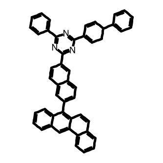 C1=CC(c2ccccc2)CC=C1c1nc(-c2ccccc2)nc(-c2ccc3cc(-c4c5ccccc5cc5c4ccc4ccccc45)ccc3c2)n1